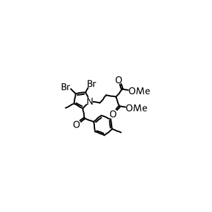 COC(=O)C(CCn1c(Br)c(Br)c(C)c1C(=O)c1ccc(C)cc1)C(=O)OC